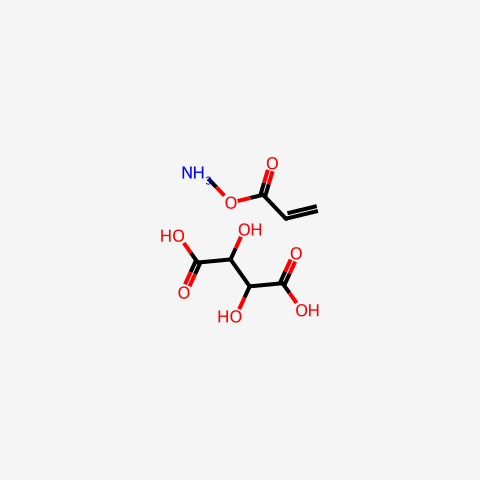 C=CC(=O)OC.N.O=C(O)C(O)C(O)C(=O)O